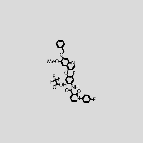 COc1cc2c(Oc3ccc(NC(=O)c4cccn(-c5ccc(F)cc5)c4=O)cc3F)ccnc2cc1OCc1ccccc1.O=C(O)C(F)(F)F